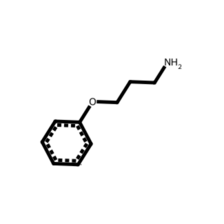 NCCCOc1c[c]ccc1